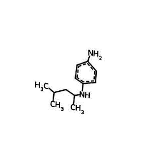 CC(C)CC(C)Nc1ccc(N)cc1